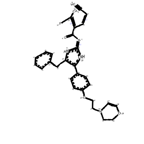 C#C/C=C\C(C(=O)/N=c1\[nH]c(Cc2ccccc2)c(-c2ccc(OCCN3CCOCC3)cc2)[nH]1)=C(/C)F